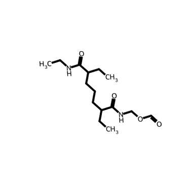 CCNC(=O)C(CC)CCCC(CC)C(=O)NCOC=O